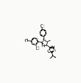 CC(C)c1nnc(C2N=C(c3ccc(Cl)cc3Cl)N(c3ccc(Cl)cc3)C2C)o1